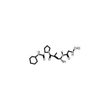 C/C(=C\[C@H](C(C)C)N(C)C(=O)CNC=O)C(=O)N1CCC[C@H]1C(=O)NC1CCCCC1